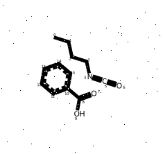 CCCCN=C=O.O=C(O)c1ccccc1